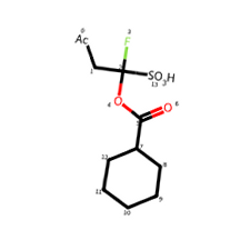 CC(=O)CC(F)(OC(=O)C1CCCCC1)S(=O)(=O)O